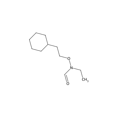 CCN(C=O)OCCC1CCCCC1